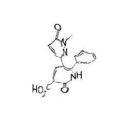 Cn1nc(-c2cc(C(=O)O)c(=O)[nH]c2-c2ccccc2)ccc1=O